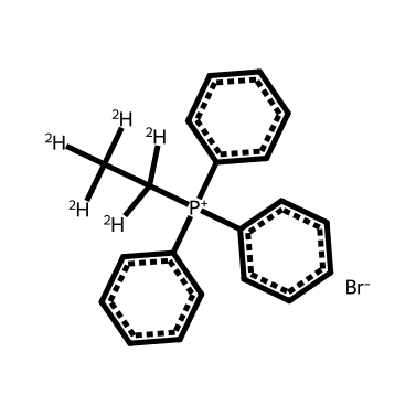 [2H]C([2H])([2H])C([2H])([2H])[P+](c1ccccc1)(c1ccccc1)c1ccccc1.[Br-]